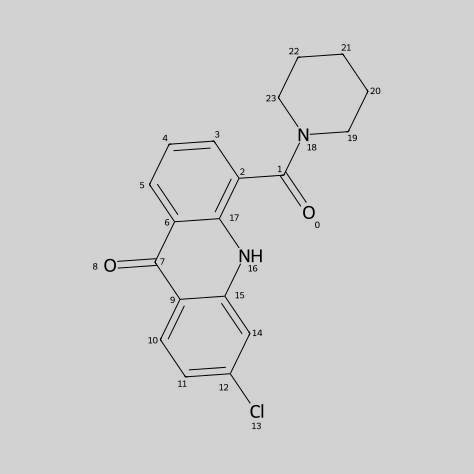 O=C(c1cccc2c(=O)c3ccc(Cl)cc3[nH]c12)N1CCCCC1